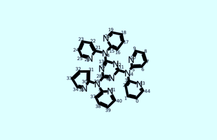 c1ccc(N(c2ccccn2)c2nc(N(c3ccccn3)c3ccccn3)nc(N(c3ccccn3)c3ccccn3)n2)nc1